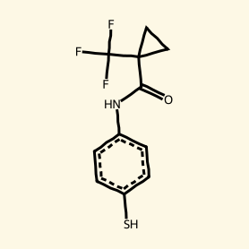 O=C(Nc1ccc(S)cc1)C1(C(F)(F)F)CC1